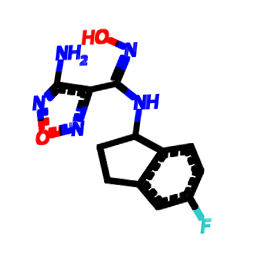 Nc1nonc1/C(=N\O)NC1CCc2cc(F)ccc21